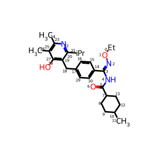 CCO/N=C(/NC(=O)C1CCC(C)CC1)c1ccc(Cc2c(C(C)C)nc(C)c(C)c2O)cc1